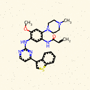 C=CC(=O)Nc1cc(Nc2nccc(-c3csc4ccccc34)n2)c(OC)cc1N1CCN(C)CC1